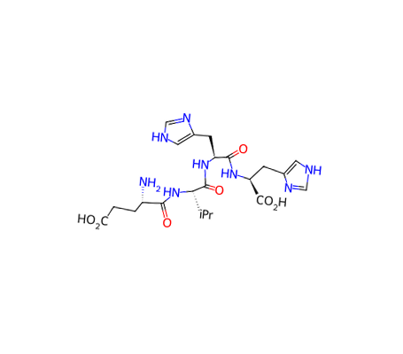 CC(C)[C@H](NC(=O)[C@@H](N)CCC(=O)O)C(=O)N[C@@H](Cc1c[nH]cn1)C(=O)N[C@@H](Cc1c[nH]cn1)C(=O)O